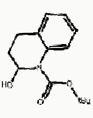 CC(C)(C)OC(=O)N1c2ccccc2CCC1O